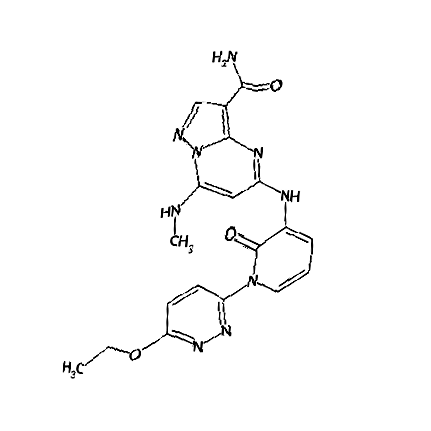 CCOc1ccc(-n2cccc(Nc3cc(NC)n4ncc(C(N)=O)c4n3)c2=O)nn1